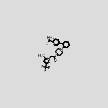 Cc1cc(C(F)(F)F)nn1CC(=O)N1CCN(c2ccccc2-c2ccc(C(N)=O)nc2)CC1